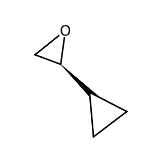 C1CC1[C@H]1CO1